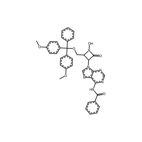 COc1ccc(C(OCC2C(n3cnc4c(NC(=O)c5ccccc5)ncnc43)C(=O)N2O)(c2ccccc2)c2ccc(OC)cc2)cc1